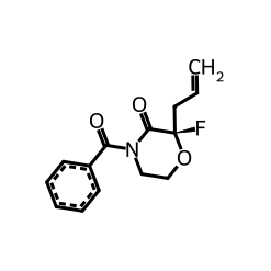 C=CC[C@]1(F)OCCN(C(=O)c2ccccc2)C1=O